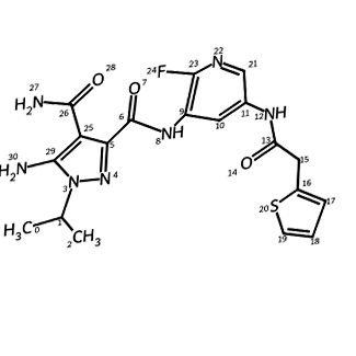 CC(C)n1nc(C(=O)Nc2cc(NC(=O)Cc3cccs3)cnc2F)c(C(N)=O)c1N